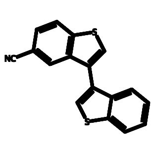 N#Cc1ccc2scc(-c3csc4ccccc34)c2c1